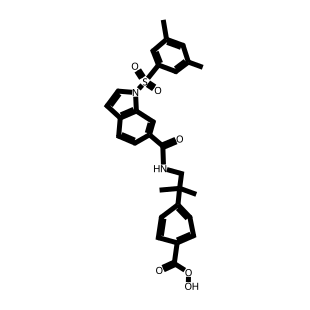 Cc1cc(C)cc(S(=O)(=O)n2ccc3ccc(C(=O)NCC(C)(C)c4ccc(C(=O)OO)cc4)cc32)c1